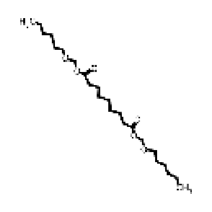 CCCCCCOCOC(=O)CCCCCCCC(=O)OCOCCCCCC